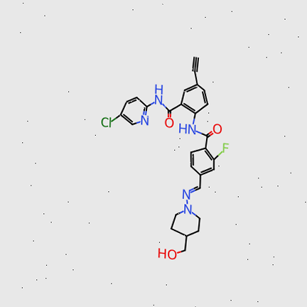 C#Cc1ccc(NC(=O)c2ccc(C=NN3CCC(CO)CC3)cc2F)c(C(=O)Nc2ccc(Cl)cn2)c1